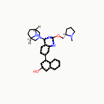 CN1CCC[C@H]1COc1nc(N2C[C@H]3CC[C@@H](C2)N3)c2ccc(-c3cc(O)cc4ccccc34)cc2n1